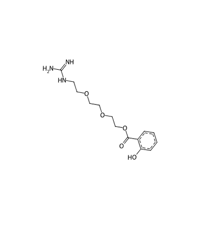 N=C(N)NCCOCCOCCOC(=O)c1ccccc1O